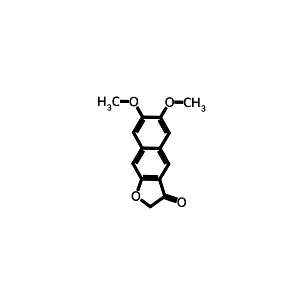 COc1cc2cc3c(cc2cc1OC)C(=O)CO3